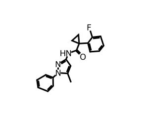 Cc1cc(NC(=O)C2(c3ccccc3F)CC2)nn1-c1ccccc1